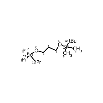 CC(C)[Si](OCCCO[Si](C)(C)C(C)(C)C)(C(C)C)C(C)C